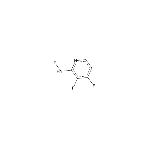 FNc1nccc(F)c1F